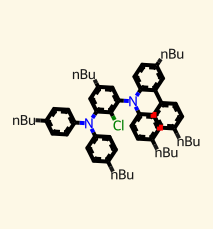 CCCCc1ccc(-c2cc(CCCC)ccc2N(c2ccc(CCCC)cc2)c2cc(CCCC)cc(N(c3ccc(CCCC)cc3)c3ccc(CCCC)cc3)c2Cl)cc1